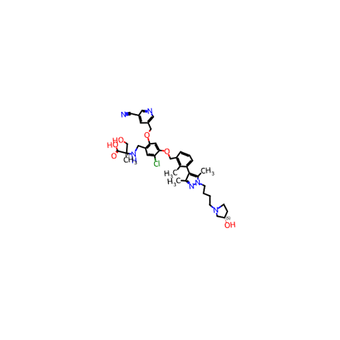 Cc1nn(CCCCN2CC[C@H](O)C2)c(C)c1-c1cccc(COc2cc(OCc3cncc(C#N)c3)c(CN[C@](C)(CO)C(=O)O)cc2Cl)c1C